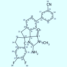 CN1C(=O)C2(N=C1N)c1cc(-c3cccc(C#N)c3)ccc1CC21CCc2cc(F)c(F)cc2C1